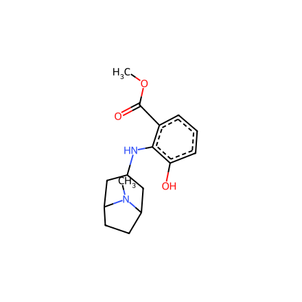 COC(=O)c1cccc(O)c1NC1CC2CCC(C1)N2C